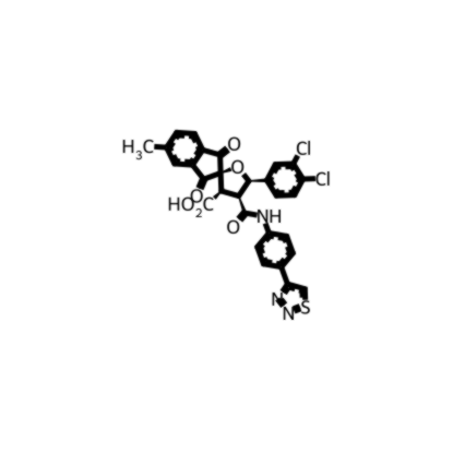 Cc1ccc2c(c1)C(=O)[C@]1(O[C@@H](c3ccc(Cl)c(Cl)c3)[C@@H](C(=O)Nc3ccc(-c4csnn4)cc3)[C@H]1C(=O)O)C2=O